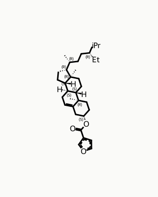 CC[C@H](CC[C@@H](C)[C@H]1CC[C@H]2[C@@H]3CC=C4C[C@@H](OC(=O)c5ccoc5)CC[C@]4(C)[C@H]3CC[C@]12C)C(C)C